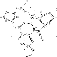 COC(=O)C[C@H]1[C@@H](C)N(Cc2ccccc2)CCN1C(=O)c1cccnc1NCCC(C)C